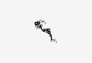 CCCCOCc1ccc(S(=O)(=O)NC2CCN(CCNC(=O)Nc3cc(C)nc4ccccc34)C2)cc1